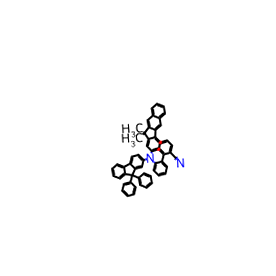 CC1(C)c2cc(N(c3ccc4c(c3)C(c3ccccc3)(c3ccccc3)c3ccccc3-4)c3ccccc3-c3ccccc3C#N)ccc2-c2cc3ccccc3cc21